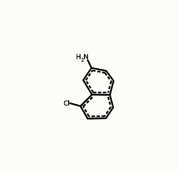 Nc1ccc2cccc(Cl)c2c1